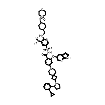 O=C(NS(=O)(=O)c1cnc(NCC2CCC(N=S3(=O)CCOCC3)CC2)c([N+](=O)[O-])c1)c1ccc(N2CCC3(CC2)CC(N2CCC[C@H]2c2ccccc2C2CC2)C3)cc1Oc1cnc2[nH]ccc2c1